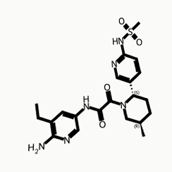 CCc1cc(NC(=O)C(=O)N2C[C@H](C)CC[C@H]2c2ccc(NS(C)(=O)=O)nc2)cnc1N